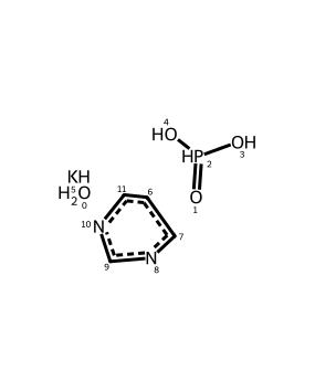 O.O=[PH](O)O.[KH].c1cncnc1